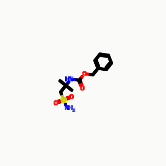 CC(C)(CS(N)(=O)=O)NC(=O)OCc1ccccc1